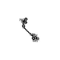 O=C(OCC1CCN(CCCCCCCCCNCC(O)c2ccc(O)c3[nH]c(=O)ccc23)CC1)C(O)(c1ccccc1)c1cccs1